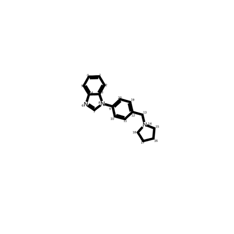 c1ccc2c(c1)ncn2-c1ccc(CN2CCCC2)cc1